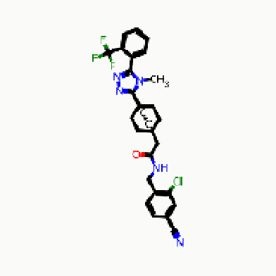 Cn1c(-c2ccccc2C(F)(F)F)nnc1C12CCC(CC(=O)NCc3ccc(C#N)cc3Cl)(CC1)CC2